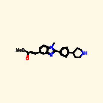 COC(=O)/C=C/c1ccc2c(c1)nc(-c1ccc(C3CCNCC3)cc1)n2C